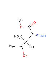 CCC(C(=N)C(=O)OC(C)(C)C)(C(=O)O)C(C)O